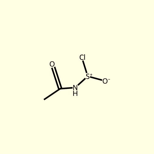 CC(=O)N[S+]([O-])Cl